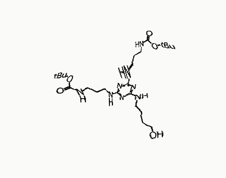 CC(C)(C)OC(=O)NCCCNc1nc(NCCCCO)nc(NCCCNC(=O)OC(C)(C)C)n1